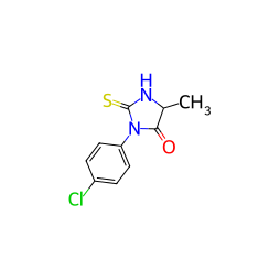 CC1NC(=S)N(c2ccc(Cl)cc2)C1=O